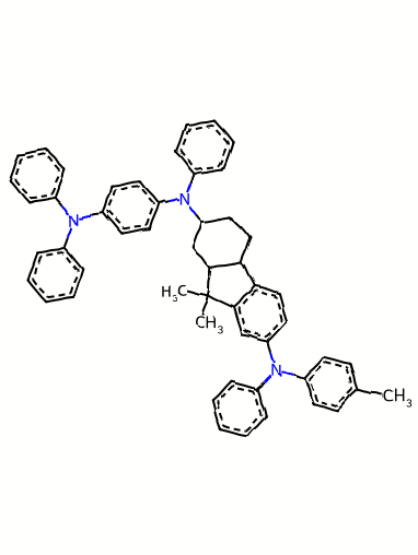 Cc1ccc(N(c2ccccc2)c2ccc3c(c2)C(C)(C)C2CC(N(c4ccccc4)c4ccc(N(c5ccccc5)c5ccccc5)cc4)CCC32)cc1